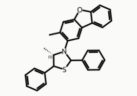 Cc1cc2oc3ccccc3c2cc1N1C(c2ccccc2)SC(c2ccccc2)[C@@H]1C